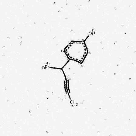 CC#CC(CCC)c1ccc(O)cc1